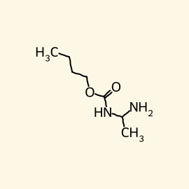 CCCCOC(=O)NC(C)N